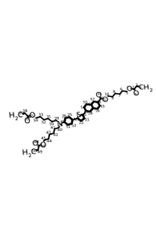 C=CC(=O)OCCCCCCOC(=O)c1ccc2cc(-c3ccc(-c4ccc(N(CCCCCCOC(=O)C=C)CCCCCCOC(=O)C=C)cc4)s3)ccc2c1